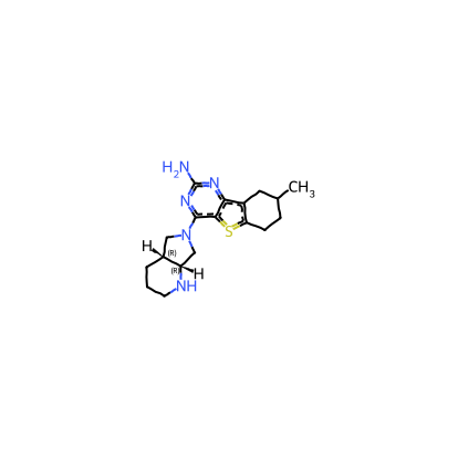 CC1CCc2sc3c(N4C[C@H]5CCCN[C@H]5C4)nc(N)nc3c2C1